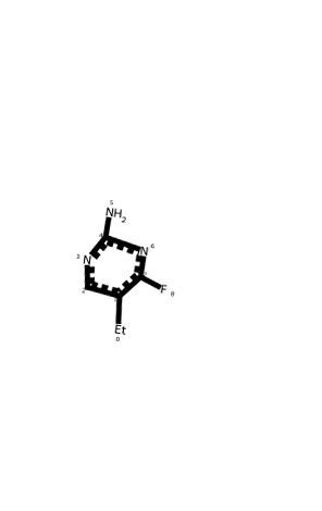 CCc1cnc(N)nc1F